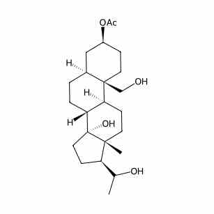 CC(=O)O[C@H]1CC[C@@]2(CO)[C@@H](CC[C@@H]3[C@@H]2CC[C@]2(C)[C@@H](C(C)O)CC[C@@]32O)C1